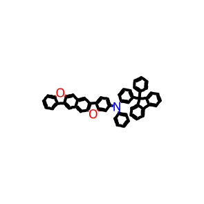 c1ccc(N(c2cccc(C3(c4ccccc4)c4ccccc4-c4ccccc43)c2)c2ccc3c(c2)oc2cc4cc5c(cc4cc23)oc2ccccc25)cc1